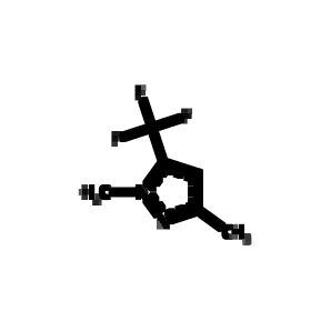 [CH2]n1nc(C)cc1C(F)(F)F